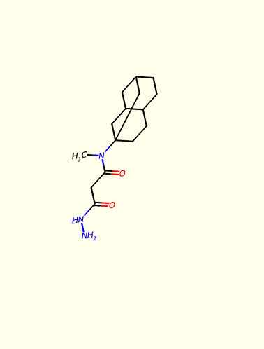 CN(C(=O)CC(=O)NN)C12CCC3CCC(CC3C1)C2